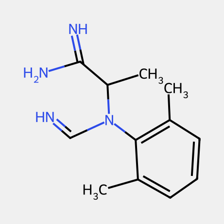 Cc1cccc(C)c1N(C=N)C(C)C(=N)N